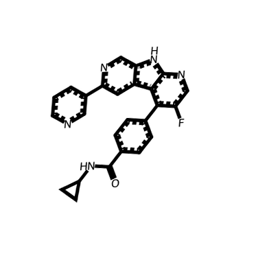 O=C(NC1CC1)c1ccc(-c2c(F)cnc3[nH]c4cnc(-c5cccnc5)cc4c23)cc1